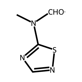 CN([C]=O)c1ncns1